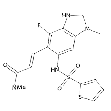 CNC(=O)/C=C/c1c(NS(=O)(=O)c2cccs2)cc2c(c1F)NCN2C